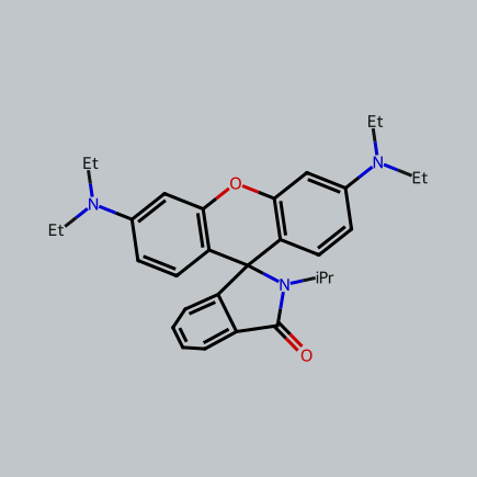 CCN(CC)c1ccc2c(c1)Oc1cc(N(CC)CC)ccc1C21c2ccccc2C(=O)N1C(C)C